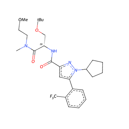 COCCN(C)C(=O)[C@H](COC(C)(C)C)NC(=O)c1cc(-c2ccccc2C(F)(F)F)n(C2CCCC2)n1